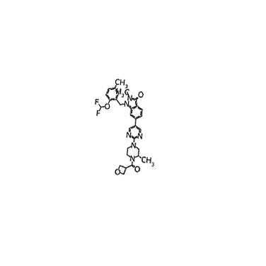 Cc1ccc(OC(F)F)c(Cn2c3cc(-c4cnc(N5CCN(C(=O)C6COC6)[C@H](C)C5)nc4)ccc3c(=O)n2C)c1